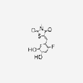 CN1C(=O)S/C(=C\c2cc(O)c(O)cc2F)C1=O